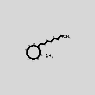 CCCCCCCCC1CCCCCCCCC1.N